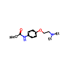 CCN(CC)CCOc1ccc(NC(=O)OC)cc1